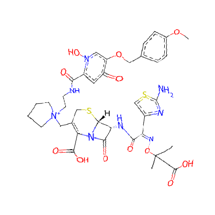 COc1ccc(COc2cn(O)c(C(=O)NCC[N+]3(CC4=C(C(=O)O)N5C(=O)[C@@H](NC(=O)/C(=N\OC(C)(C)C(=O)O)c6csc(N)n6)[C@H]5SC4)CCCC3)cc2=O)cc1